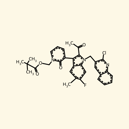 CC(=O)c1c(-c2cccn(COC(=O)C(C)(C)C)c2=O)c2cc(C)c(F)cc2n1Cc1cc2ccccc2nc1Cl